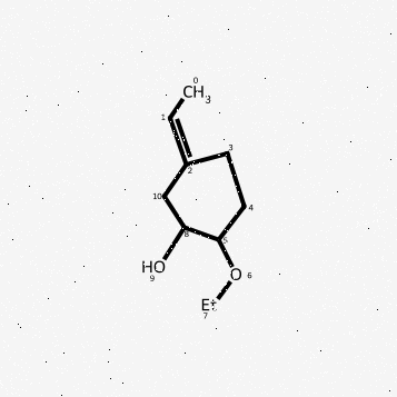 C/C=C1\CCC(OCC)C(O)C1